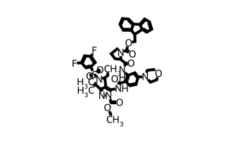 CCOC(=O)n1nc2c(c1NC(=O)c1ccc(N3CCOCC3)cc1NC(=O)C1CCCN1C(=O)OCC1c3ccccc3-c3ccccc31)C(CC)N(S(=O)(=O)c1cc(F)cc(F)c1)C2(C)C